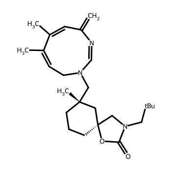 C=C1/C=C(C)\C(C)=C/CN(C[C@@]2(C)CCC[C@@]3(CN(CC(C)(C)C)C(=O)O3)C2)/C=N\1